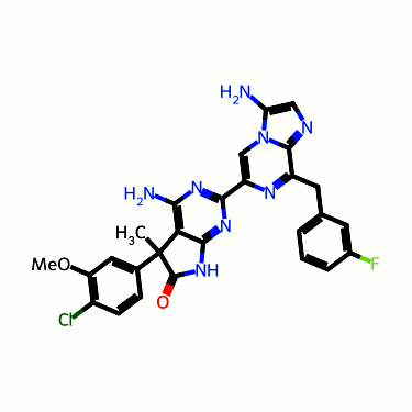 COc1cc(C2(C)C(=O)Nc3nc(-c4cn5c(N)cnc5c(Cc5cccc(F)c5)n4)nc(N)c32)ccc1Cl